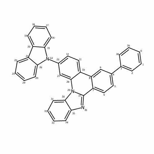 c1ccc(-c2ccc3c(c2)c2ccc(-n4c5ccccc5c5ccccc54)cc2n2c4ccccc4nc32)cc1